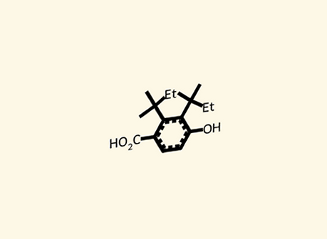 CCC(C)(C)c1c(O)ccc(C(=O)O)c1C(C)(C)CC